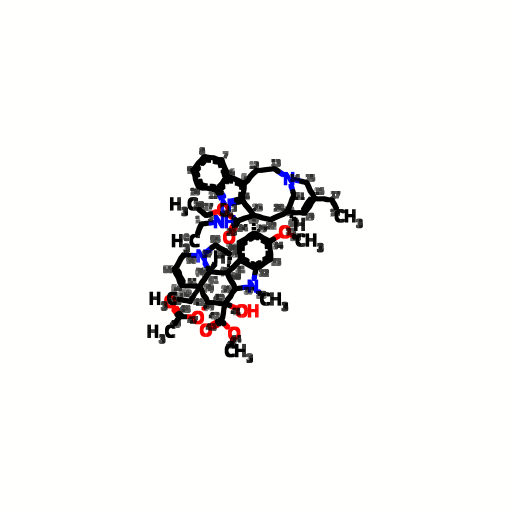 CCNn1c2c(c3ccccc31)CCN1CC(CC)=C[C@H](C1)C[C@]2(C(=O)OCC)c1cc2c(cc1OC)N(C)C1C(O)(C(=O)OC)[C@H](OC(C)=O)[C@]3(CC)C=CCN4CC[C@]21[C@@H]43